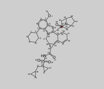 COc1ccc(C2CCCCC2)c2c1cc1n2CC2=C(C(=O)NS(=O)(=O)C3(CC4CC4)CC3)C2=C2C=CC[C@@H](C(=O)N3C4CCC3CN(C)C4)C21